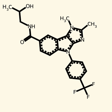 Cc1nc2c(c3cc(C(=O)NCC(C)O)ccc3n2-c2ccc(C(F)(F)F)cc2)n1C